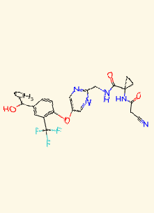 CC(O)c1ccc(Oc2cnc(CNC(=O)C3(NC(=O)CC#N)CC3)nc2)c(C(F)(F)F)c1